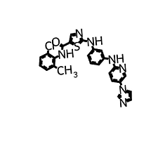 Cc1cccc(Cl)c1NC(=O)c1cnc(Nc2cccc(Nc3ccc(-n4ccnc4)cn3)c2)s1